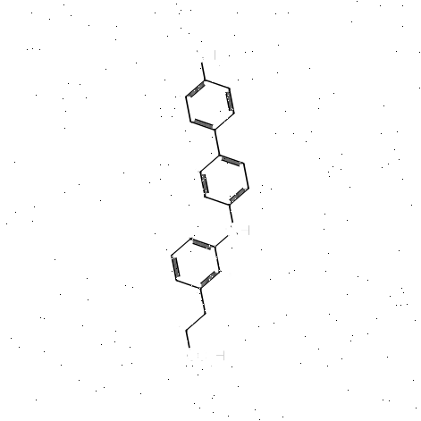 Nc1ccc(-c2ccc(Nc3cccc(CCC(=O)O)c3)cc2)cc1